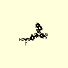 O=[N+]([O-])c1ccc(-n2nc(-c3ccc(SCC(O)CO)cc3)n[n+]2-c2nc3c(ccc4ccccc43)s2)cc1